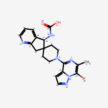 Cc1nc(N2CCC3(CC2)Cc2ncccc2[C@H]3NC(=O)O)c2ccnn2c1Br